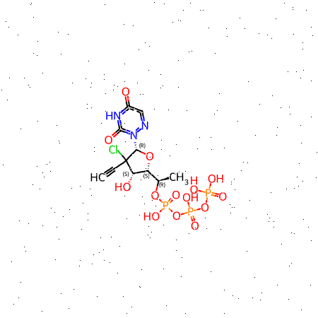 C#CC1(Cl)[C@@H](O)[C@@H]([C@@H](C)OP(=O)(O)OP(=O)(O)OP(=O)(O)O)O[C@H]1n1ncc(=O)[nH]c1=O